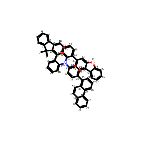 CC1(C)c2ccccc2-c2cccc(-c3ccccc3N(c3ccc(-c4cccc5c4ccc4ccccc45)cc3)c3ccccc3-c3ccc4c(c3)oc3ccccc34)c21